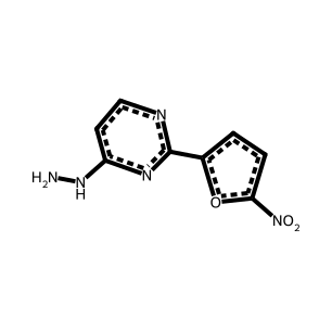 NNc1ccnc(-c2ccc([N+](=O)[O-])o2)n1